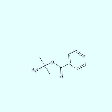 CC(C)(N)OC(=O)c1ccccc1